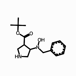 CC(C)(C)OC(=O)C1CNCC1N(O)Cc1ccccc1